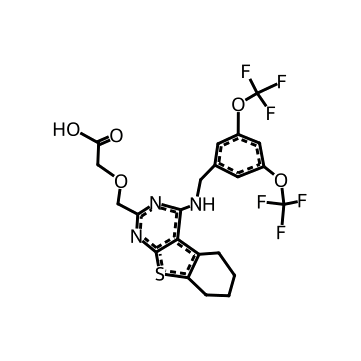 O=C(O)COCc1nc(NCc2cc(OC(F)(F)F)cc(OC(F)(F)F)c2)c2c3c(sc2n1)CCCC3